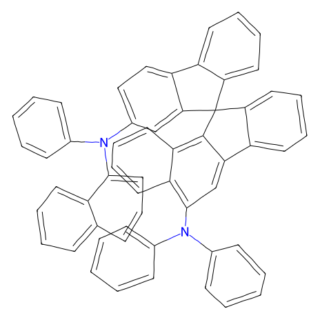 c1ccc(N(c2ccc3c(c2)C2(c4ccccc4-3)c3ccccc3-c3cc(N(c4ccccc4)c4ccccc4)c4ccccc4c32)c2cccc3ccccc23)cc1